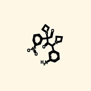 Nc1cccc(C(C(=O)C(C=O)(c2cccc([N+](=O)[O-])c2)N2CCC2)N2CCC2)c1